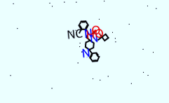 CN(C)C1(c2ccccc2)CCC2(CC1)CN(c1ccccc1C#N)C(=O)N2CC1(O)CCC1